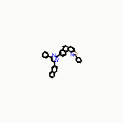 C1=CC(c2cc(-c3ccc4ccccc4c3)nc(-c3ccc4c(ccc5ccc6sc(-c7ccccc7)nc6c54)c3)n2)=CCC1